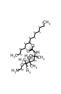 CCCCCCCC(CCCCC)OC(=O)NC(C)(C)CC(C)(C)C(C)(C)OCN